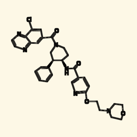 O=C(N[C@@H]1CCN(C(=O)c2cc(Cl)c3nccnc3c2)C[C@@H]1c1ccccc1)c1ccc(OCCN2CCOCC2)nc1